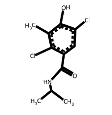 Cc1c(O)c(Cl)cc(C(=O)NC(C)C)c1Cl